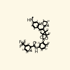 CNc1ccc2c(c1)N1CCN=C1C(C1(C)C3(C)OB(c4cc(NC(=O)c5cc(C(F)(F)F)ccn5)ccc4C)OC31C)=C2